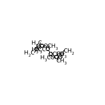 C=Cc1ccc(Oc2c(C)cc(Oc3c(C)cc(-c4cc(C)c(Oc5cc(C)c(Oc6ccc(C=C)cc6)c(C)c5)c(C)c4)cc3C)cc2C)cc1